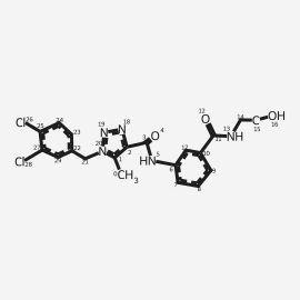 Cc1c(C(=O)Nc2cccc(C(=O)NCCO)c2)nnn1Cc1ccc(Cl)c(Cl)c1